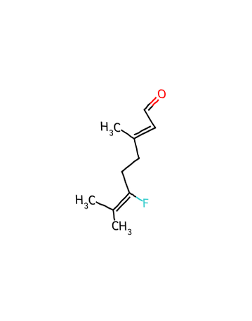 CC(C)=C(F)CC/C(C)=C/C=O